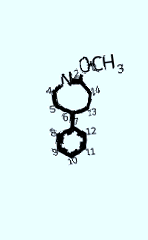 COC1=NCCC(c2ccccc2)CC1